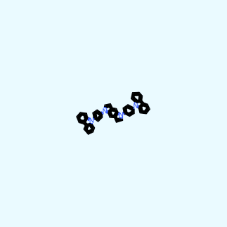 c1ccc2c(c1)c1ccccc1n2-c1ccc(-n2ccc3cc4c(ccn4-c4ccc(-n5c6ccccc6c6ccccc65)cc4)cc32)cc1